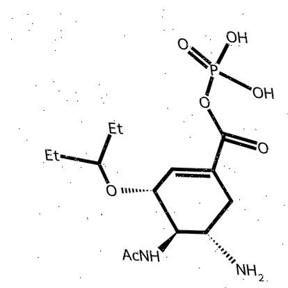 CCC(CC)O[C@@H]1C=C(C(=O)OP(=O)(O)O)C[C@H](N)[C@H]1NC(C)=O